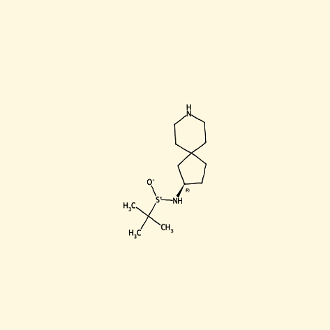 CC(C)(C)[S+]([O-])N[C@@H]1CCC2(CCNCC2)C1